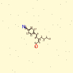 CCCCC(=C/C=O)/C=C/c1ccc(C#N)cc1